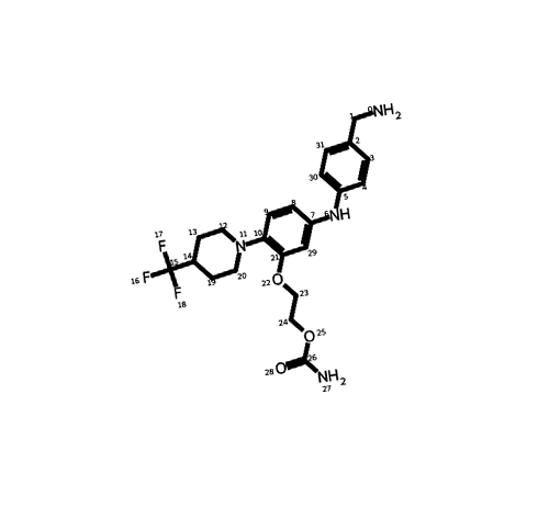 NCc1ccc(Nc2ccc(N3CCC(C(F)(F)F)CC3)c(OCCOC(N)=O)c2)cc1